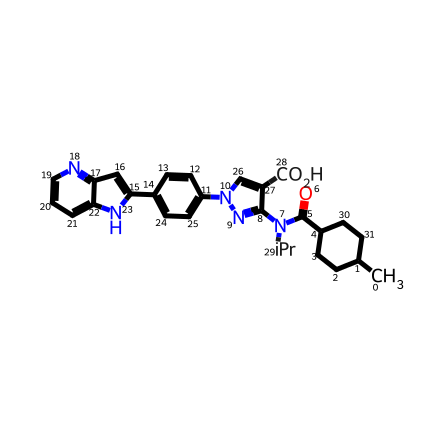 CC1CCC(C(=O)N(c2nn(-c3ccc(-c4cc5ncccc5[nH]4)cc3)cc2C(=O)O)C(C)C)CC1